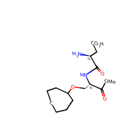 COC(=O)[C@H](COC1CCCCCC1)NC(=O)[C@@H](N)CC(=O)O